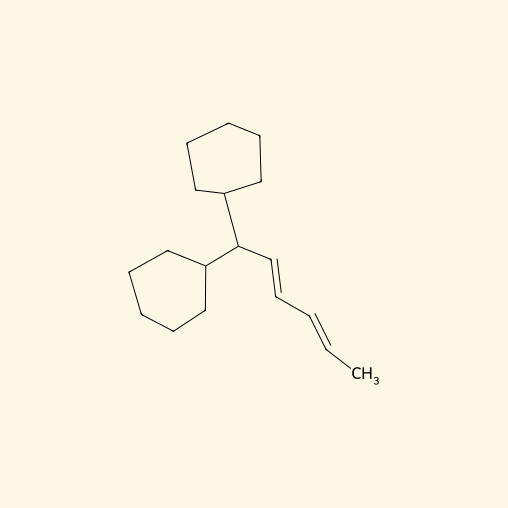 CC=CC=CC(C1CCCCC1)C1CCCCC1